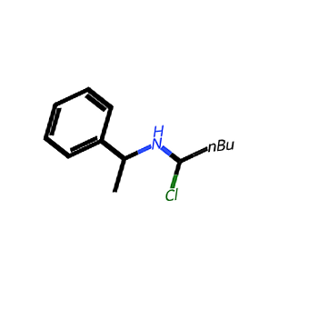 CCCCC(Cl)NC(C)c1ccccc1